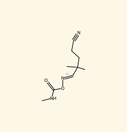 CNC(=O)O/N=C/C(C)(C)CCC#N